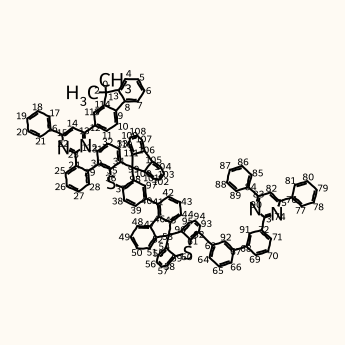 CC1(C)c2ccccc2-c2ccc(-c3cc(-c4ccccc4)nc(-c4ccccc4-c4cccc5c4Sc4ccc(-c6cccc7c6-c6ccccc6C76c7ccccc7Sc7c(-c8cccc(-c9cccc(-c%10nc(-c%11ccccc%11)cc(-c%11ccccc%11)n%10)c9)c8)cccc76)cc4C54c5ccccc5-c5ccccc54)n3)cc21